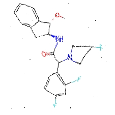 CO[C@H]1c2ccccc2C[C@@H]1NC(=O)C(c1ccc(F)cc1F)N1CC(F)C1